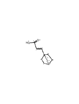 O=C(O)C=CC12CCN(CC1)CC2